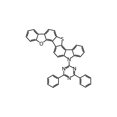 c1ccc(-c2nc(-c3ccccc3)nc(-n3c4ccccc4c4c5sc6ccc7c8ccccc8oc7c6c5ccc43)n2)cc1